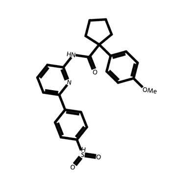 COc1ccc(C2(C(=O)Nc3cccc(-c4ccc([SH](=O)=O)cc4)n3)CCCC2)cc1